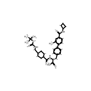 Cc1cc(C(=O)NC2CCC2)ccc1-c1ccc(C[C@H](NC(=O)C2CCC(CNC(=O)OC(C)(C)C)CC2)C(=O)O)cc1